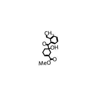 C=Cc1ccccc1C(=O)C1(O)CCC=C(C(=O)OC)C1